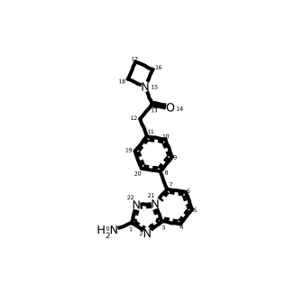 Nc1nc2cccc(-c3ccc(CC(=O)N4CCC4)cc3)n2n1